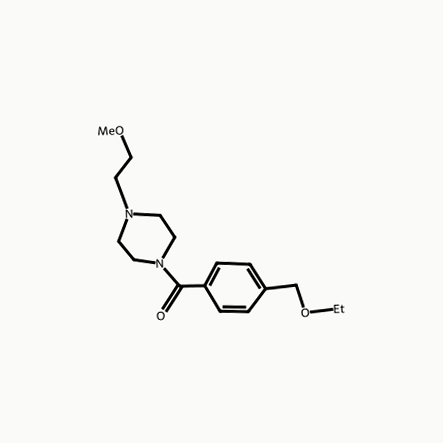 CCOCc1ccc(C(=O)N2CCN(CCOC)CC2)cc1